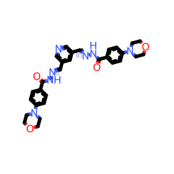 O=C(N/N=C/c1cncc(/C=N/NC(=O)c2ccc(N3CCOCC3)cc2)c1)c1ccc(N2CCOCC2)cc1